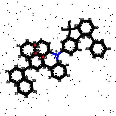 CC1(C)c2cc(N(c3ccccc3)c3ccccc3-c3cc(-c4cccc5ccccc45)c4ccccc4c3)ccc2-c2c(-c3ccccc3)cccc21